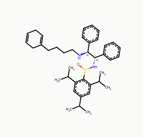 CC(C)c1cc(C(C)C)c([S+]([O-])N[C@@H](c2ccccc2)[C@@H](NCCCCC2=CCC=CC2)c2ccccc2)c(C(C)C)c1